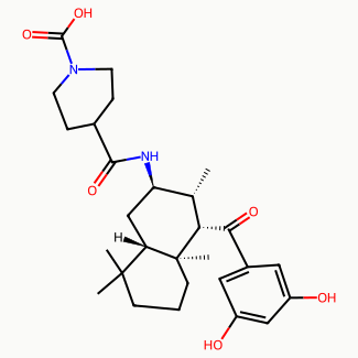 C[C@H]1[C@H](NC(=O)C2CCN(C(=O)O)CC2)C[C@H]2C(C)(C)CCC[C@]2(C)[C@H]1C(=O)c1cc(O)cc(O)c1